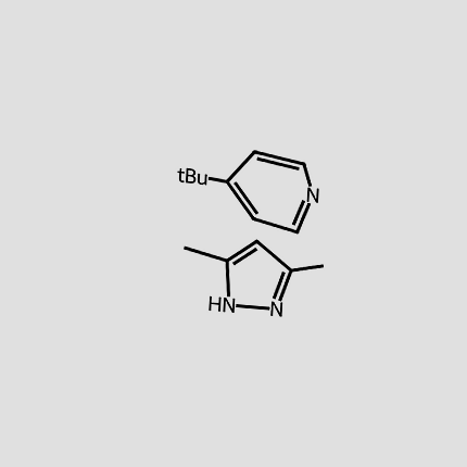 CC(C)(C)c1ccncc1.Cc1cc(C)[nH]n1